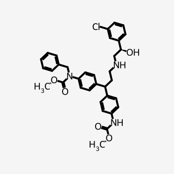 COC(=O)Nc1ccc(C(CCNC[C@H](O)c2cccc(Cl)c2)c2ccc(N(Cc3ccccc3)C(=O)OC)cc2)cc1